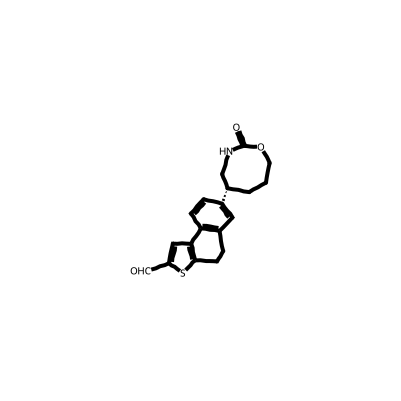 O=Cc1cc2c(s1)CCc1cc([C@H]3CCCOC(=O)NC3)ccc1-2